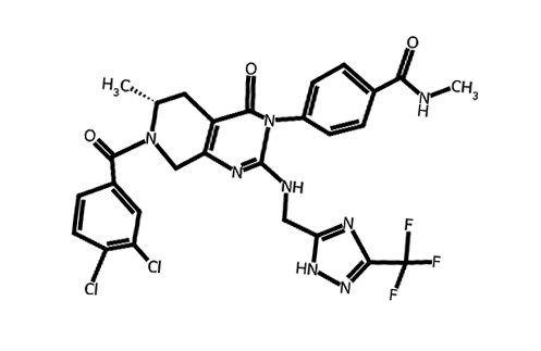 CNC(=O)c1ccc(-n2c(NCc3nc(C(F)(F)F)n[nH]3)nc3c(c2=O)C[C@@H](C)N(C(=O)c2ccc(Cl)c(Cl)c2)C3)cc1